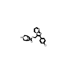 O=C(OCc1c(-c2ccc(Cl)cc2)nc2ncccn12)N1C2CCC1CNC2